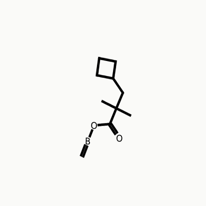 C=BOC(=O)C(C)(C)CC1CCC1